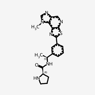 C[C@H](NC(=O)[C@H]1CCCN1)c1cccc(-c2nc3c(ncc4ncn(C)c43)s2)c1